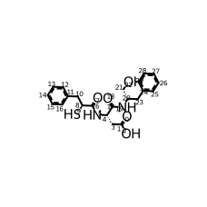 O=C(O)C[C@H](NC(=O)[C@@H](S)Cc1ccccc1)C(=O)N[C@H](CO)Cc1ccccc1